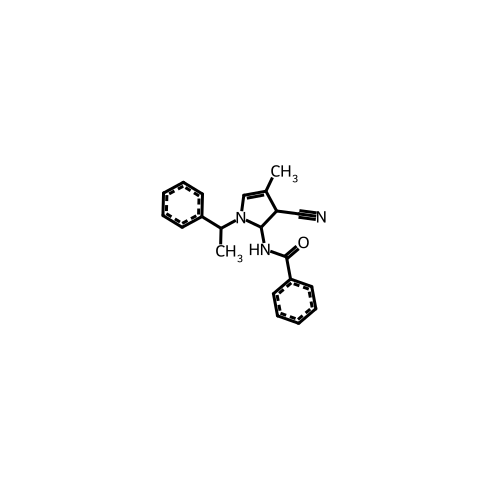 CC1=CN(C(C)c2ccccc2)C(NC(=O)c2ccccc2)C1C#N